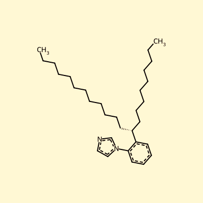 CCCCCCCCCCCC[C@H](CCCCCCCCC)c1ccccc1-n1ccnc1